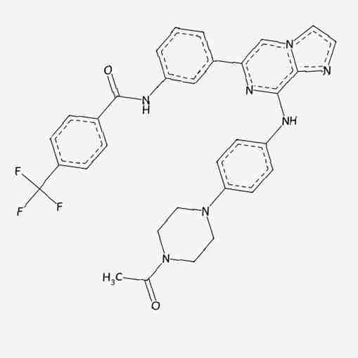 CC(=O)N1CCN(c2ccc(Nc3nc(-c4cccc(NC(=O)c5ccc(C(F)(F)F)cc5)c4)cn4ccnc34)cc2)CC1